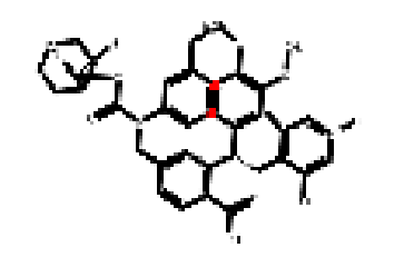 COc1ccc([C@H](Cc2c(Cl)c[n+]([O-])cc2Cl)c2cc(CN(C(=O)O[C@H]3CN4CCC3CC4)c3cccc(CO)c3)ccc2C(=O)O)cc1OC